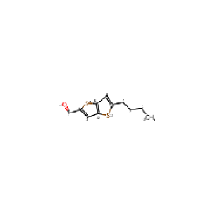 CCCCc1cc2sc(C=O)cc2s1